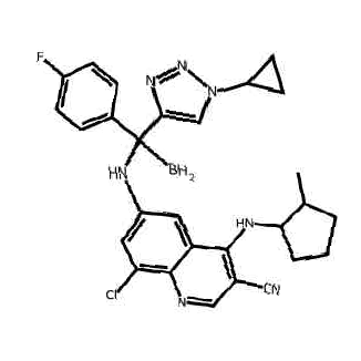 BC(Nc1cc(Cl)c2ncc(C#N)c(NC3CCCC3C)c2c1)(c1ccc(F)cc1)c1cn(C2CC2)nn1